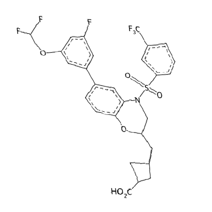 O=C(O)C1CC(CC2CN(S(=O)(=O)c3cccc(C(F)(F)F)c3)c3cc(-c4cc(F)cc(OC(F)F)c4)ccc3O2)C1